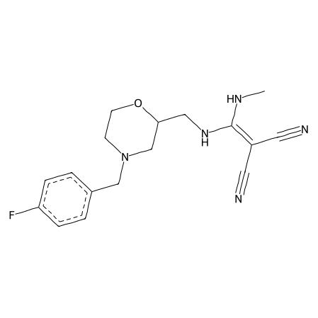 CNC(NCC1CN(Cc2ccc(F)cc2)CCO1)=C(C#N)C#N